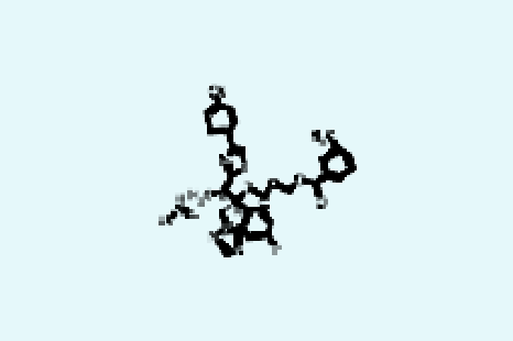 CCNCC.Cc1cccc(C(=O)OCOC(=O)O[C@@](Cn2cncn2)(c2ccc(F)cc2F)[C@@H](C)c2nc(-c3ccc(C#N)cc3)cs2)c1